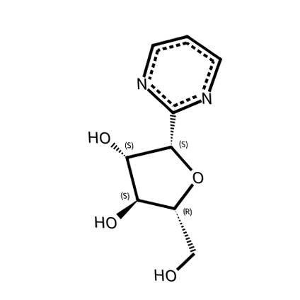 OC[C@H]1O[C@@H](c2ncccn2)[C@@H](O)[C@@H]1O